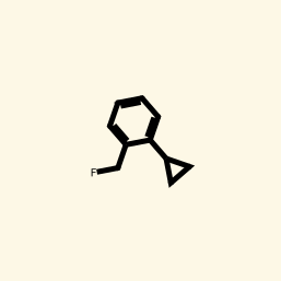 FCc1c[c]ccc1C1CC1